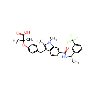 Cc1c(Cc2ccc(OC(C)(C)C(=O)O)cc2)c2ccc(C(=O)N[C@@H](C)c3cccc(C(F)(F)F)c3)cc2n1C